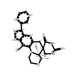 C[C@@H]1OCCN2c3c(nc4c(-c5cnccn5)noc4c3Cl)CC3(C(=O)NC(=O)NC3=O)[C@@H]12